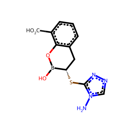 Nn1cnnc1S[C@H]1Cc2cccc(C(=O)O)c2OB1O